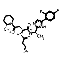 CC(C)CCC(=O)N[C@@H](CC(=O)N1CCCC[C@H]1C)C(=O)N[C@@H](C)c1ncc(-c2ccc(F)cc2F)[nH]1